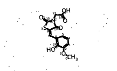 COc1cccc(C=C2SC(=O)N(CC(=O)O)C2=O)c1O